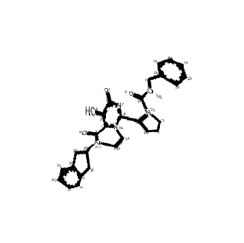 O=C1c2c(O)c(=O)nc(C3CCCN3C(=O)OCc3ccccc3)n2CCN1C1Cc2ccccc2C1